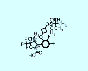 C[C@H]1[C@@H](c2ccc(F)c(F)c2OC2CC(O[Si](C)(C)C(C)(C)C)C2)[C@H](C(=O)O)O[C@@]1(C)C(F)(F)F